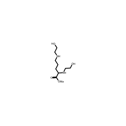 COC(=O)C(CCCNCCO)NCCO